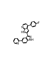 Fc1ccc(-c2ccnc3[nH]c(-c4n[nH]c5ccc(-c6ccccn6)cc45)cc23)cc1